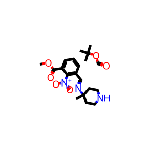 CC(C)(C)OC=O.COC(=O)c1cccc(C=NC2(C)CCNCC2)c1[N+](=O)[O-]